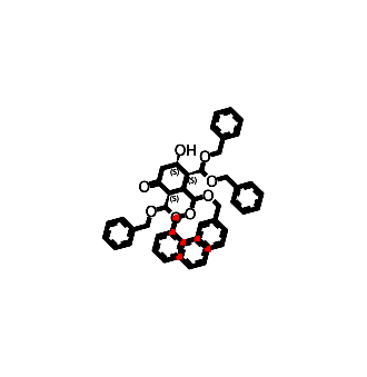 O=C1C[C@H](O)[C@@H](C(OCc2ccccc2)OCc2ccccc2)C(C(OCc2ccccc2)OCc2ccccc2)[C@H]1C(OCc1ccccc1)OCc1ccccc1